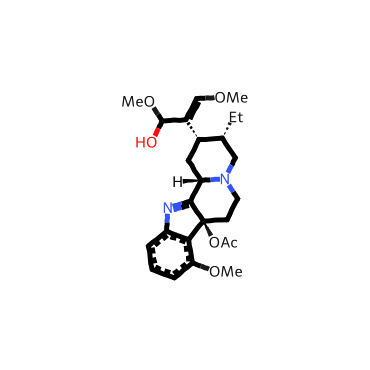 CC[C@@H]1CN2CC[C@@]3(OC(C)=O)C(=Nc4cccc(OC)c43)[C@@H]2C[C@@H]1/C(=C\OC)C(O)OC